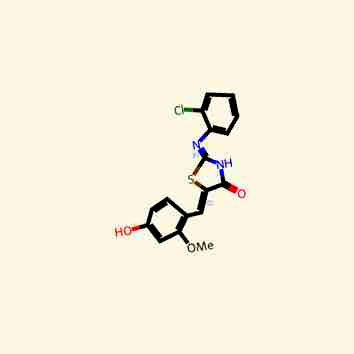 COc1cc(O)ccc1/C=C1\S/C(=N/c2ccccc2Cl)NC1=O